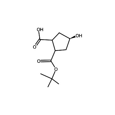 CC(C)(C)OC(=O)C1C[C@H](O)CC1C(=O)O